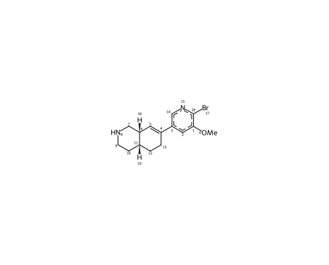 COc1cc(C2=C[C@H]3CNCC[C@H]3CC2)cnc1Br